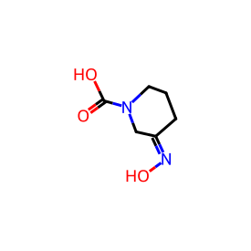 O=C(O)N1CCC/C(=N/O)C1